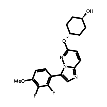 COc1ccc(-c2cnc3ccc(O[C@H]4CC[C@H](O)CC4)nn23)c(F)c1F